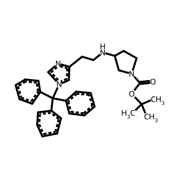 CC(C)(C)OC(=O)N1CCC(NCCc2cn(C(c3ccccc3)(c3ccccc3)c3ccccc3)cn2)C1